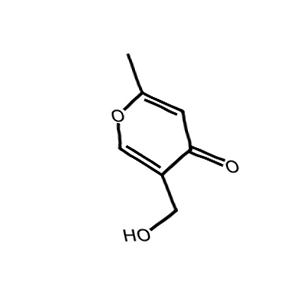 Cc1cc(=O)c(CO)co1